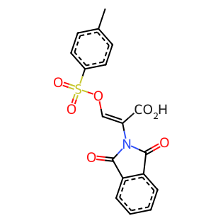 Cc1ccc(S(=O)(=O)OC=C(C(=O)O)N2C(=O)c3ccccc3C2=O)cc1